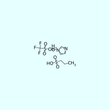 CCCS(=O)(=O)O.Cn1ccnc1.O=S(=O)(O)C(F)(F)F